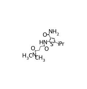 CC(C)c1cc(C(N)=O)c(NC(=O)CCC(=O)N(C)C)s1